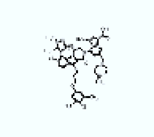 Cc1cc(OCCCc2c3n(c4c(-c5c(C)nn(C)c5C)c(Cl)ccc24)[C@H](C)CN(c2cc(CN4CCN(C)CC4)cc4c(C(=O)O)cn(C)c24)C3=O)cc(C)c1Cl